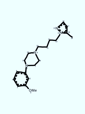 COc1cccc(N2CCN(CCCCn3nccc3C)CC2)c1